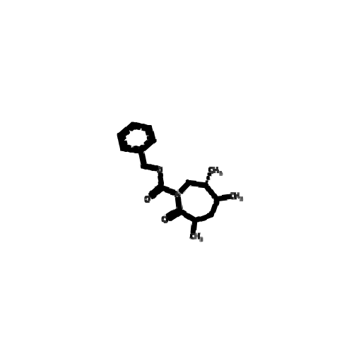 CC1CC(C)[C@@H](C)CN(C(=O)OCc2ccccc2)C1=O